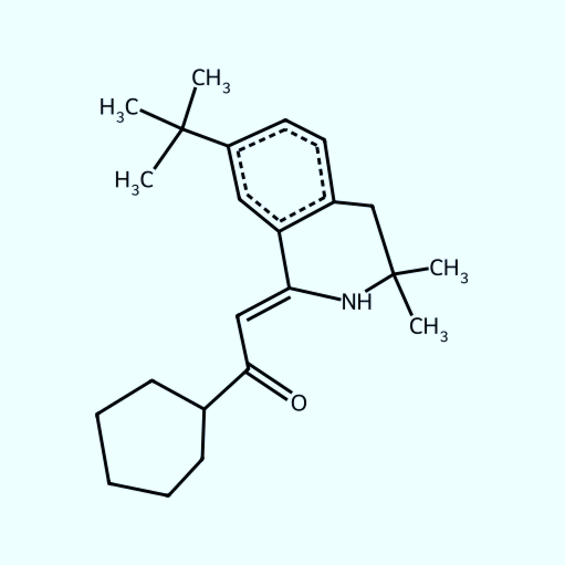 CC1(C)Cc2ccc(C(C)(C)C)cc2C(=CC(=O)C2CCCCC2)N1